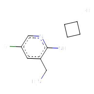 NCc1cc(Br)cnc1N[C@H]1C[C@@H](O)C1